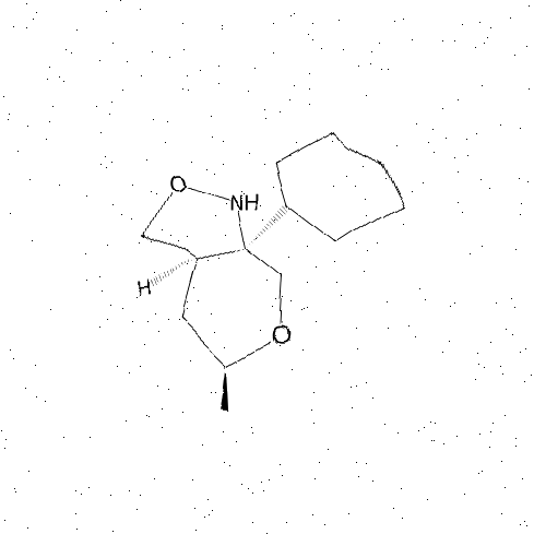 C[C@H]1C[C@H]2CON[C@@]2(C2CCCCC2)CO1